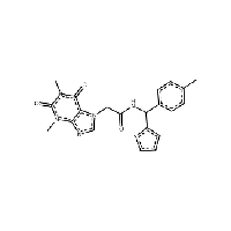 Cc1ccc(C(NC(=O)Cn2cnc3c2c(=O)n(C)c(=O)n3C)c2cccs2)cc1